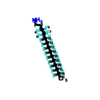 NCCC(F)(F)C(F)(F)C(F)(F)C(F)(F)C(F)(F)C(F)(F)C(F)(F)C(F)(F)C(F)(F)C(F)(F)C(F)(F)C(F)(F)F